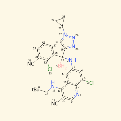 BC(Nc1cc(Cl)c2ncc(C#N)c(NCC(C)(C)C)c2c1)(c1cn(C2CC2)nn1)c1cccc(C#N)c1Cl